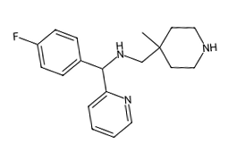 CC1(CNC(c2ccc(F)cc2)c2ccccn2)CCNCC1